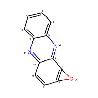 c1ccc2nc3c4c(ccc3nc2c1)O4